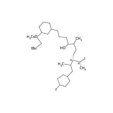 CC(CC[C@@H](C(C)CC1CCC(I)CC1)[C@@H](C)I)C(O)CCCC1CCCC([C@H](C)CC(C)(C)C)C1